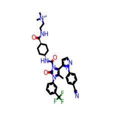 Cc1c(-c2ccnn2-c2ccc(C#N)cc2)n(C(=O)N[C@H]2CC[C@H](C(=O)NCC[N+](C)(C)C)CC2)c(=O)n1-c1cccc(C(F)(F)F)c1